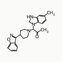 CC(=O)C(N1CCC(c2noc3ccccc23)CC1)N1CNc2cc(C)ccc21